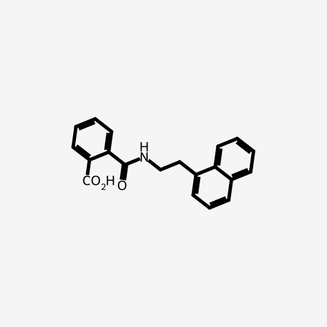 O=C(O)c1ccccc1C(=O)NCCc1cccc2ccccc12